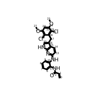 C=CC(=O)Nc1ccccc1Nc1ccc2c(Cc3c(Cl)c(OC)cc(OC)c3Cl)c[nH]c2n1